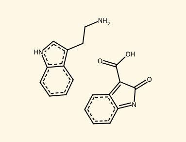 NCCc1c[nH]c2ccccc12.O=C(O)C1=c2ccccc2=NC1=O